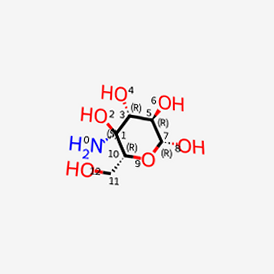 N[C@]1(O)[C@H](O)[C@@H](O)[C@H](O)O[C@@H]1CO